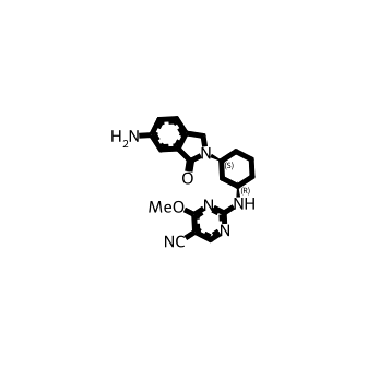 COc1nc(N[C@@H]2CCC[C@H](N3Cc4ccc(N)cc4C3=O)C2)ncc1C#N